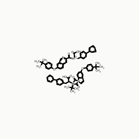 CC(C)(C)OC(=O)[N+]1(C(=O)NC(Cc2ccc(-c3ccccc3)cc2)C(=O)O)C=Cc2cc(Oc3ccc(C(C)(C)C)cc3)ccc21.CC(C)(C)c1ccc(Oc2ccc3cc(C(=O)N[C@@H](Cc4ccc(-c5ccccc5)cc4)C(=O)O)ncc3c2)cc1